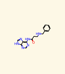 O=C(CCNCc1ccccc1)Nc1ncnc2[nH]cnc12